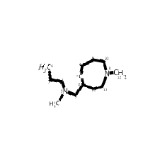 CCCN(C)CC1CCCCN(C)CC1